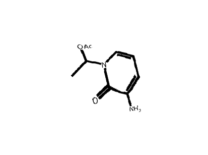 CC(=O)OC(C)n1cccc(N)c1=O